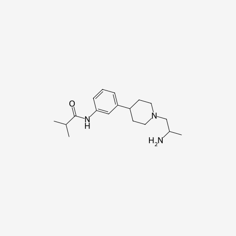 CC(N)CN1CCC(c2cccc(NC(=O)C(C)C)c2)CC1